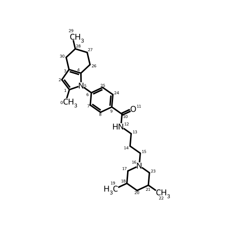 Cc1cc2c(n1-c1ccc(C(=O)NCCCN3CC(C)CC(C)C3)cc1)CCC(C)C2